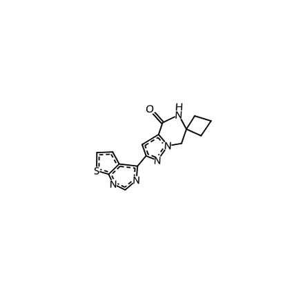 O=C1NC2(CCC2)Cn2nc(-c3ncnc4sccc34)cc21